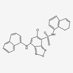 O=S(=O)(Nc1cccc2c1CCC=C2)c1c(Cl)cc(Nc2cccc3ccccc23)c2nonc12